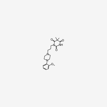 COc1ccccc1N1CCN(CCCN2C(=O)NC(=O)C(C)(C)C2=O)CC1